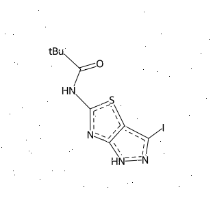 CC(C)(C)C(=O)Nc1nc2[nH]nc(I)c2s1